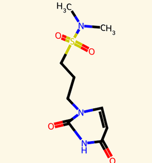 CN(C)S(=O)(=O)CCCn1ccc(=O)[nH]c1=O